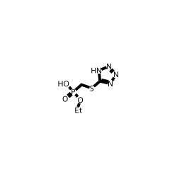 CCOP(=O)(O)CSc1nnn[nH]1